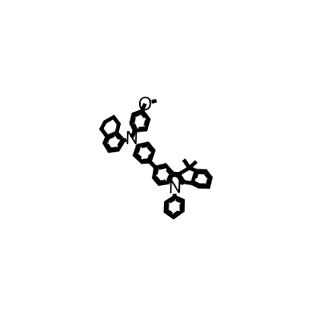 COc1ccc(N(c2ccc(-c3ccc4c(c3)c3c(n4-c4ccccc4)-c4ccccc4C3(C)C)cc2)c2cccc3c2CCCC3)cc1